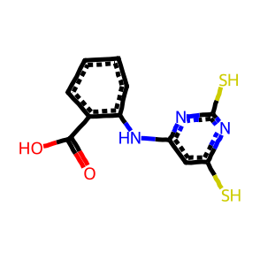 O=C(O)c1ccccc1Nc1cc(S)nc(S)n1